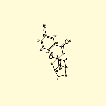 O=C1CC2(CC3CCC(C2)N3)Oc2ccc(F)cc21